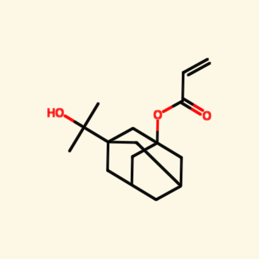 C=CC(=O)OC12CC3CC(C1)CC(C(C)(C)O)(C3)C2